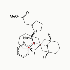 COC(=O)CN1CCC[C@H]1c1nc2ccccc2n1[C@H]1C[C@H]2CCC[C@@H](C1)N2[C@@H]1C[C@@H]2CCCC[C@@H](C2)C1